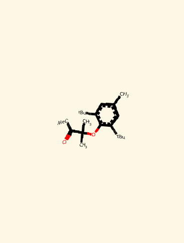 COC(=O)C(C)(C)Oc1c(C(C)(C)C)cc(C)cc1C(C)(C)C